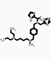 CCCN(CCC)CCCCN(C)Cc1ccc(CN(Cc2nc[nH]n2)C(C)c2ncc[nH]2)cc1